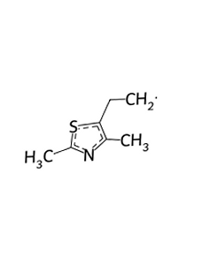 [CH2]Cc1sc(C)nc1C